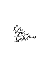 CN(Cc1cn(S(=O)(=O)c2c(F)cccc2F)c(-c2cccnc2F)c1F)C(=O)O